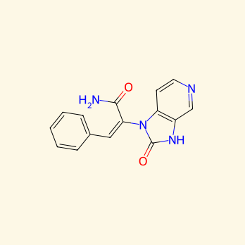 NC(=O)/C(=C\c1ccccc1)n1c(=O)[nH]c2cnccc21